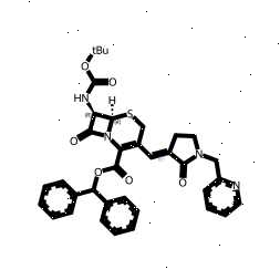 CC(C)(C)OC(=O)N[C@@H]1C(=O)N2C(C(=O)OC(c3ccccc3)c3ccccc3)=C(/C=C3\CCN(Cc4ccccn4)C3=O)CS[C@H]12